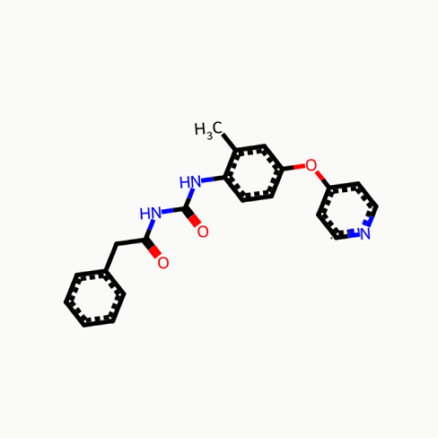 Cc1cc(Oc2c[c]ncc2)ccc1NC(=O)NC(=O)Cc1ccccc1